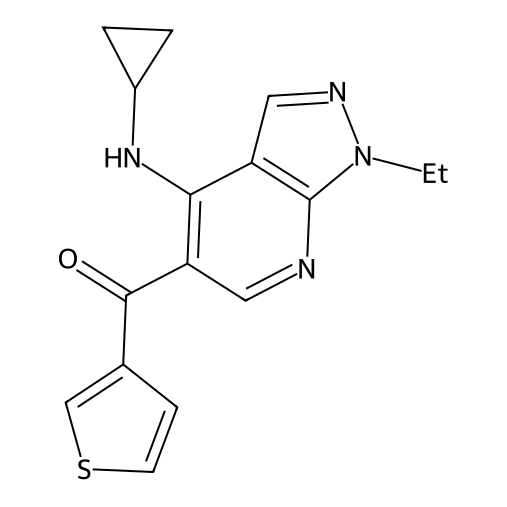 CCn1ncc2c(NC3CC3)c(C(=O)c3ccsc3)cnc21